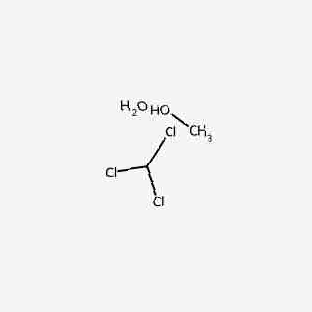 CO.ClC(Cl)Cl.O